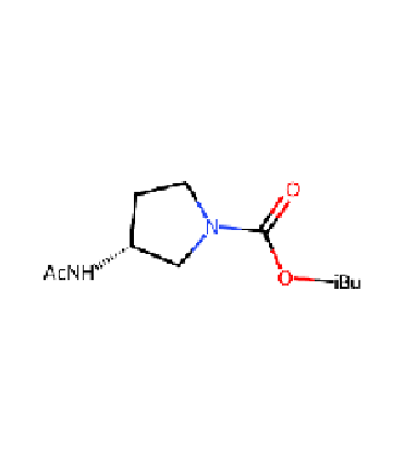 CCC(C)OC(=O)N1CC[C@@H](NC(C)=O)C1